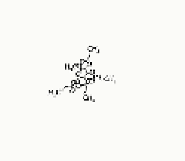 CCCC(=O)OO[C@H]1O[C@@H](OC)[C@H](OC(=O)CCC)[C@@H](OC(=O)CCC)[C@H]1OC(=O)CCC